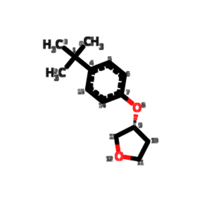 CC(C)(C)c1ccc(O[C@@H]2CCOC2)cc1